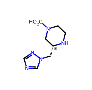 O=C(O)N1CCN[C@H](Cn2cncn2)C1